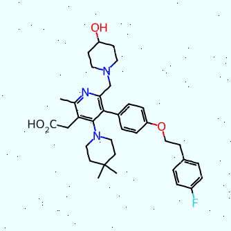 Cc1nc(CN2CCC(O)CC2)c(-c2ccc(OCCc3ccc(F)cc3)cc2)c(N2CCC(C)(C)CC2)c1CC(=O)O